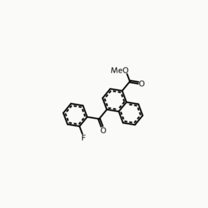 COC(=O)c1ccc(C(=O)c2ccccc2F)c2ccccc12